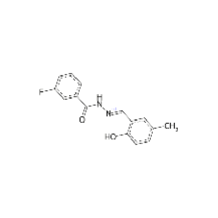 Cc1ccc(O)c(/C=N/NC(=O)c2cccc(F)c2)c1